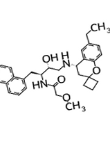 CCc1ccc2c(c1)[C@@H](NC[C@@H](O)[C@H](Cc1cccc3ccccc13)NC(=O)COC)CC1(CCC1)O2